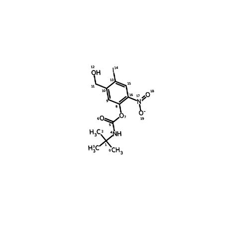 CC(C)(C)NC(=O)Oc1cc(CO)c(I)cc1[N+](=O)[O-]